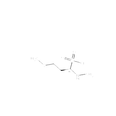 CN[C@@H](CCSC)S(=O)(=O)Cl